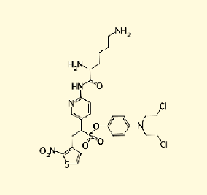 NCCCCC(N)C(=O)Nc1ccc(C(Cc2ccsc2[N+](=O)[O-])S(=O)(=O)Oc2ccc(N(CCCl)CCCl)cc2)cn1